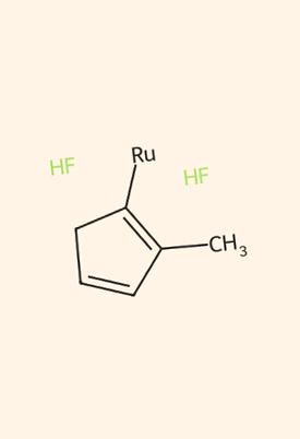 CC1=[C]([Ru])CC=C1.F.F